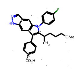 COCCCC(C)c1c(-c2ccc(C(=O)O)cc2)c2cc3[nH]ncc3cc2n1-c1ccc(F)cc1